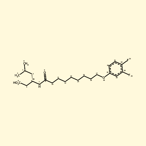 CN(C)C[C@@H](CC(=O)O)NC(=O)CCCCCCCCOc1ccc(F)c(F)c1